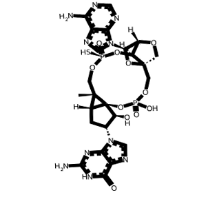 C[C@@]12CO[P@@](=O)(S)O[C@H]3[C@H]4OC[C@]3(COP(=O)(O)O[C@]13[C@@H](O)[C@H](n1cnc5c(=O)[nH]c(N)nc51)C[C@@H]32)O[C@H]4n1cnc2c(N)ncnc21